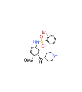 COc1ccc(NS(=O)(=O)c2ccccc2Br)cc1[AsH]C1CCN(C)CC1